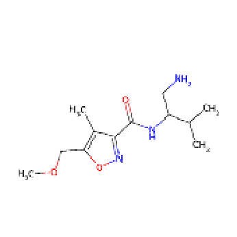 COCc1onc(C(=O)NC(CN)C(C)C)c1C